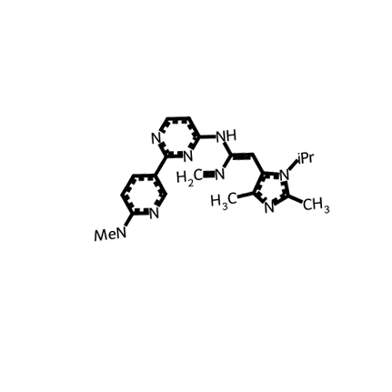 C=N/C(=C\c1c(C)nc(C)n1C(C)C)Nc1ccnc(-c2ccc(NC)nc2)n1